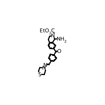 CCOC(=O)CN1CCc2ccc(C(=O)c3ccc(C=NN4CCSCC4)cc3)cc2C1N